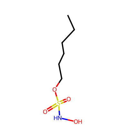 CCCCCCOS(=O)(=O)NO